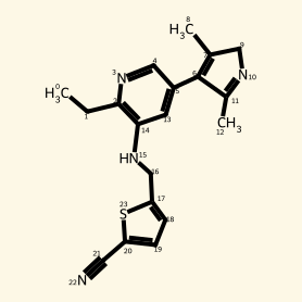 CCc1ncc(C2=C(C)CN=C2C)cc1NCc1ccc(C#N)s1